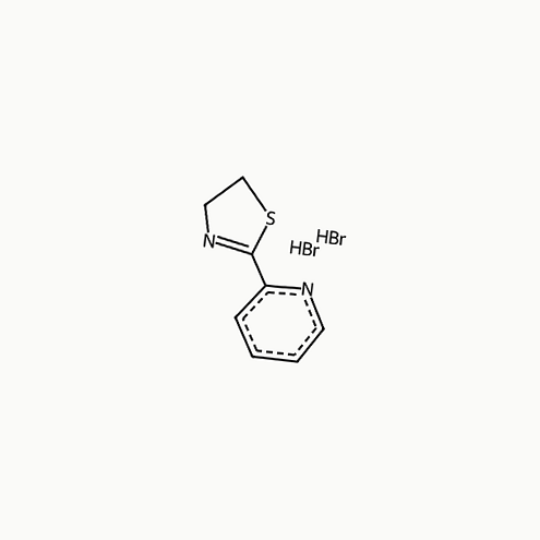 Br.Br.c1ccc(C2=NCCS2)nc1